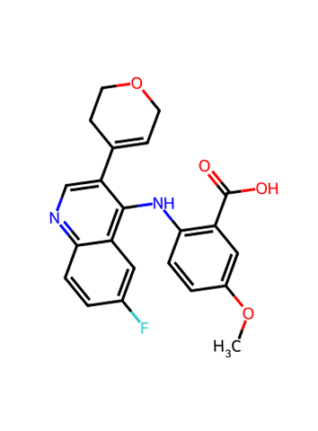 COc1ccc(Nc2c(C3=CCOCC3)cnc3ccc(F)cc23)c(C(=O)O)c1